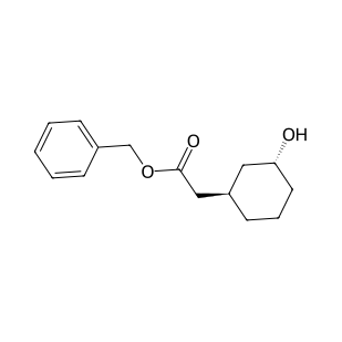 O=C(C[C@@H]1CCC[C@@H](O)C1)OCc1ccccc1